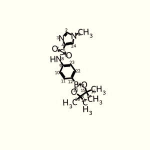 Cn1cnc(S(=O)(=O)Nc2ccc(B3OC(C)(C)C(C)(C)O3)cc2)c1